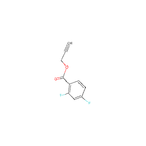 C#CCOC(=O)c1ccc(F)cc1F